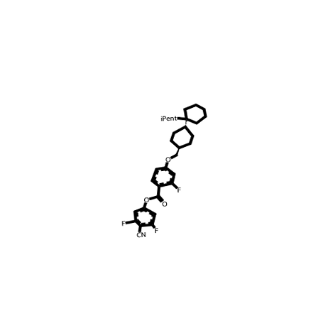 CCCC(C)C1([C@H]2CC[C@H](COc3ccc(C(=O)Oc4cc(F)c(C#N)c(F)c4)c(F)c3)CC2)CCCCC1